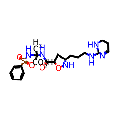 CC(NC(=O)C1CC(CCCNC2N=CCCN2)NO1)(NS(=O)(=O)c1ccccc1)C(=O)O